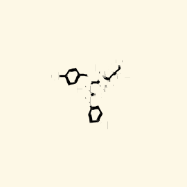 CC(C)(CO)c1nc([C@H](Cc2ccc(Cl)cc2)NC(=O)Nc2ccc(Cl)cc2)no1